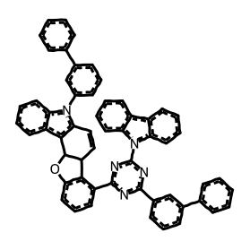 C1=CC2c3c(cccc3-c3nc(-c4cccc(-c5ccccc5)c4)nc(-n4c5ccccc5c5ccccc54)n3)OC2c2c1n(-c1cccc(-c3ccccc3)c1)c1ccccc21